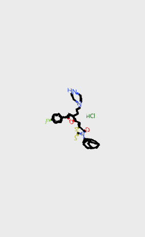 Cl.O=C1C(=Cc2oc(-c3ccc(F)cc3)cc2CCCN2CCNCC2)SC(=S)N1C1C2CC3CC(C2)CC1C3